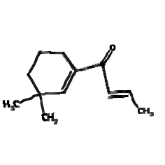 C/C=C/C(=O)C1=CC(C)(C)CCC1